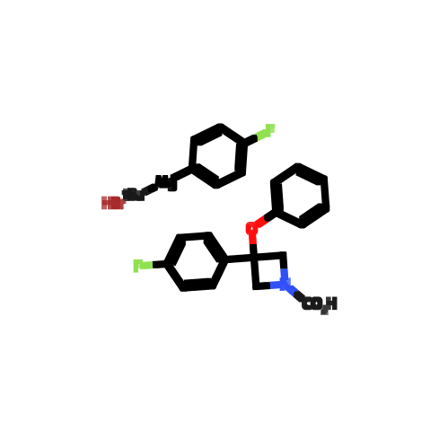 Br.C[C](C)(C)[Mg][c]1ccc(F)cc1.O=C(O)N1CC(Oc2ccccc2)(c2ccc(F)cc2)C1